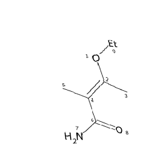 CCO/C(C)=C(\C)C(N)=O